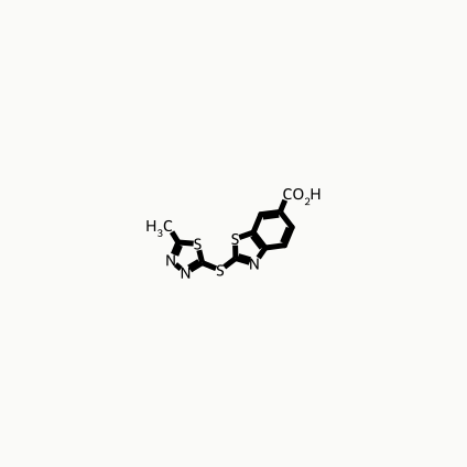 Cc1nnc(Sc2nc3ccc(C(=O)O)cc3s2)s1